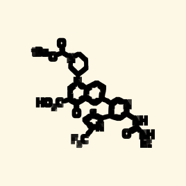 CCNC(=O)Nc1cc(-c2nc(C(F)(F)F)cs2)c(-c2ccc3c(c2)c(=O)c(C(=O)O)cn3C2CCCN(C(=O)OC(C)(C)C)C2)cn1